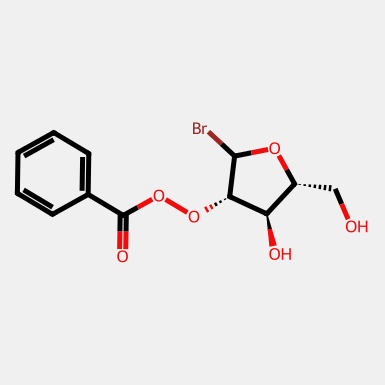 O=C(OO[C@@H]1C(Br)O[C@H](CO)[C@H]1O)c1ccccc1